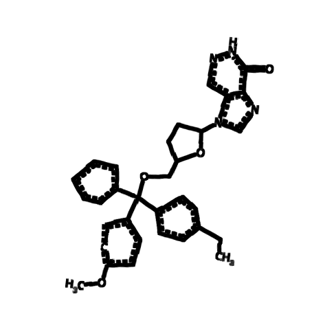 CCc1ccc(C(OCC2CCC(n3cnc4c(=O)[nH]ncc43)O2)(c2ccccc2)c2ccc(OC)cc2)cc1